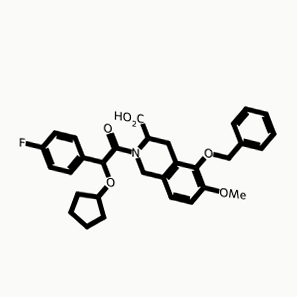 COc1ccc2c(c1OCc1ccccc1)CC(C(=O)O)N(C(=O)C(OC1CCCC1)c1ccc(F)cc1)C2